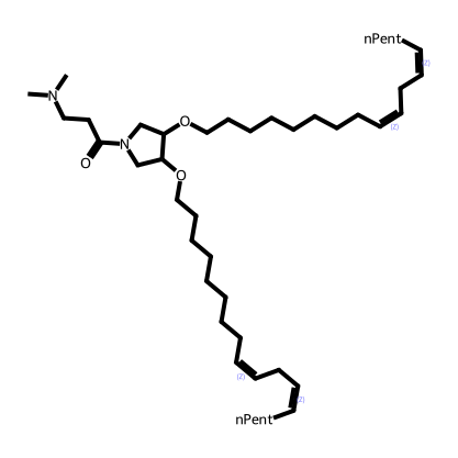 CCCCC/C=C\C/C=C\CCCCCCCCOC1CN(C(=O)CCN(C)C)CC1OCCCCCCCC/C=C\C/C=C\CCCCC